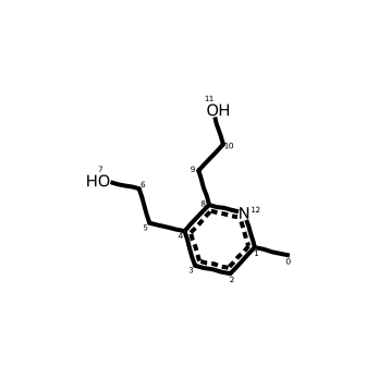 Cc1ccc(CCO)c(CCO)n1